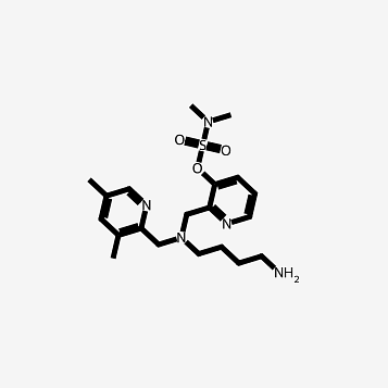 Cc1cnc(CN(CCCCN)Cc2ncccc2OS(=O)(=O)N(C)C)c(C)c1